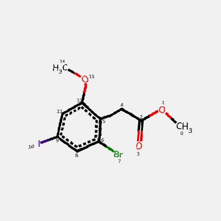 COC(=O)Cc1c(Br)cc(I)cc1OC